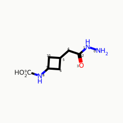 NNC(=O)CC1CC(NC(=O)O)C1